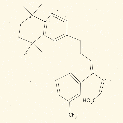 CC1(C)CCC(C)(C)c2cc(CC/C=C(/C=C\C(=O)O)c3cccc(C(F)(F)F)c3)ccc21